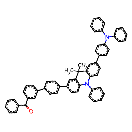 CC1(C)c2cc(-c3ccc(-c4cccc(C(=O)c5ccccc5)c4)cc3)ccc2N(c2ccccc2)c2ccc(-c3ccc(N(c4ccccc4)c4ccccc4)cc3)cc21